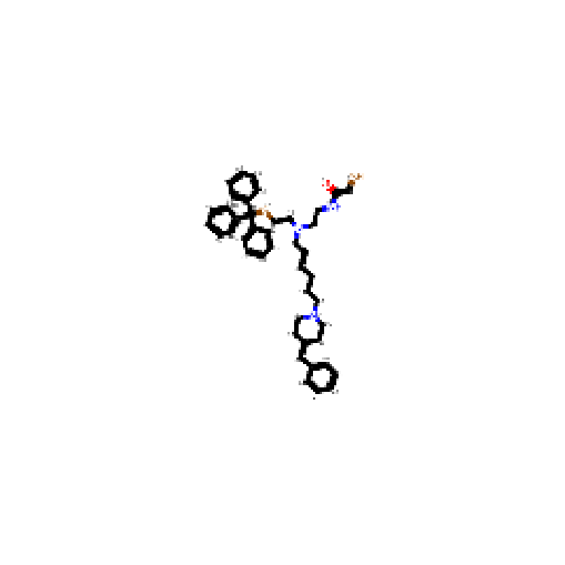 O=C(CS)NCCN(CCCCCCN1CCC(Cc2ccccc2)CC1)CCSC(c1ccccc1)(c1ccccc1)c1ccccc1